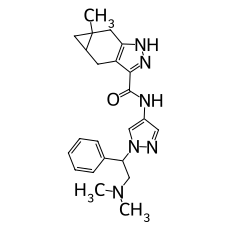 CN(C)CC(c1ccccc1)n1cc(NC(=O)c2n[nH]c3c2CC2CC2(C)C3)cn1